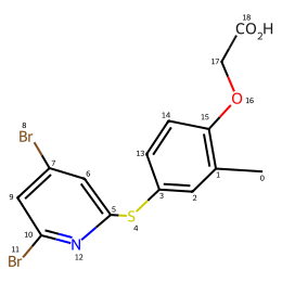 Cc1cc(Sc2cc(Br)cc(Br)n2)ccc1OCC(=O)O